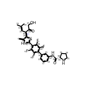 C=c1[nH]c(-c2c(F)c(F)c(-c3cccc(NC(=O)[C@@H]4CCCN4)c3)c(F)c2F)n/c1=C(/C=C(C)C)C(=O)CO